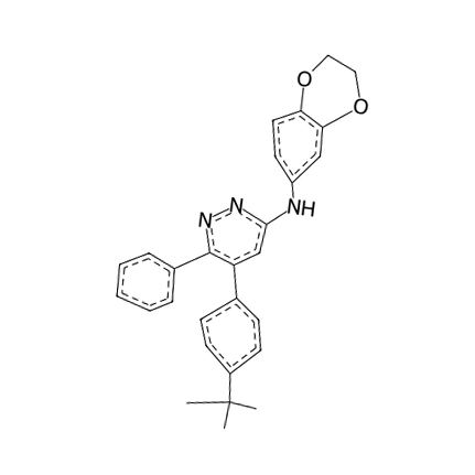 CC(C)(C)c1ccc(-c2cc(Nc3ccc4c(c3)OCCO4)nnc2-c2ccccc2)cc1